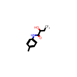 Cc1ccc(NC(=O)C(O)CC(F)(F)F)cc1